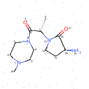 C[C@@H](C(=O)N1CCN(C)CC1)N1CC[C@H](N)C1=O